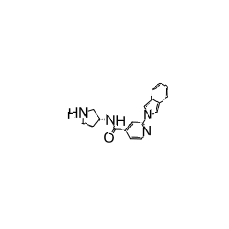 O=C(N[C@@H]1CCNC1)c1ccnc(-n2cc3ccccc3c2)c1